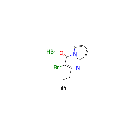 Br.CC(C)CCc1nc2ccccn2c(=O)c1Br